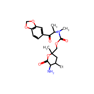 CCC1CC(C)(COC(=O)N(C)C(C)C(=O)c2ccc3c(c2)OCO3)OC(=O)C1N